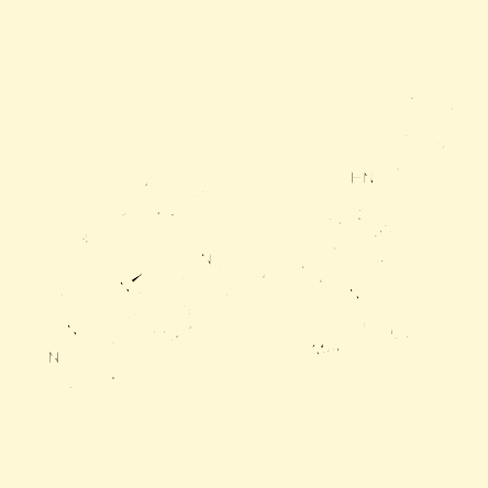 COC(=O)N1CC(C(C)(C(=O)NCC2(C)CCC2)c2ccc([N+]3(C)C(=O)[C@@H](NC(=O)c4ccnn4C)C(C4CCC4)C4(C)CC43)cc2)C1